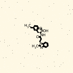 CCc1cccc(C[C@H](NC(=O)CCn2c(C)nc3ccccc32)B(O)O)c1